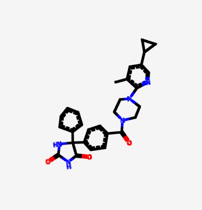 Cc1cc(C2CC2)cnc1N1CCN(C(=O)c2ccc(C3(c4ccccc4)NC(=O)NC3=O)cc2)CC1